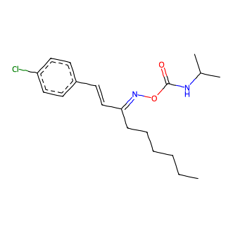 CCCCCCC(C=Cc1ccc(Cl)cc1)=NOC(=O)NC(C)C